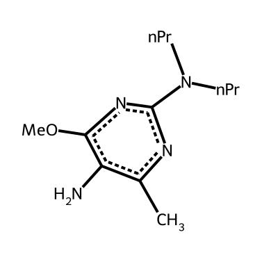 CCCN(CCC)c1nc(C)c(N)c(OC)n1